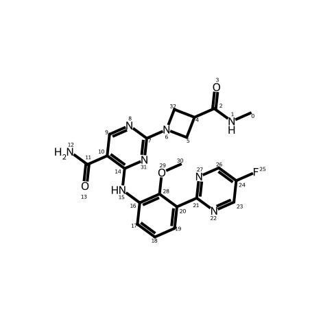 CNC(=O)C1CN(c2ncc(C(N)=O)c(Nc3cccc(-c4ncc(F)cn4)c3OC)n2)C1